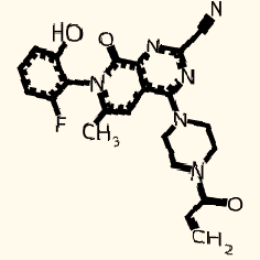 C=CC(=O)N1CCN(c2nc(C#N)nc3c(=O)n(-c4c(O)cccc4F)c(C)cc23)CC1